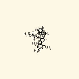 CCc1nc(N)nc(N)c1-c1ccc2c(c1)N(CCNC(=O)OC)C(=O)[C@](C)(c1cc(F)cc(F)c1)O2